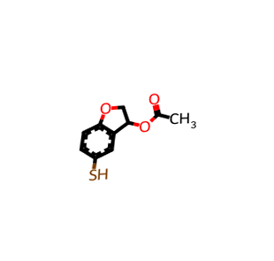 CC(=O)OC1COc2ccc(S)cc21